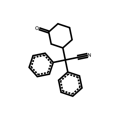 N#CC(c1ccccc1)(c1ccccc1)C1CCCC(=O)C1